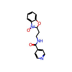 O=C(NCCC1Oc2ccccc2[N+]1=O)c1ccncc1